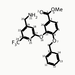 COC(=O)c1ccc(OCc2ccccc2)c(Oc2cc(CN)cc(C(F)(F)F)n2)c1